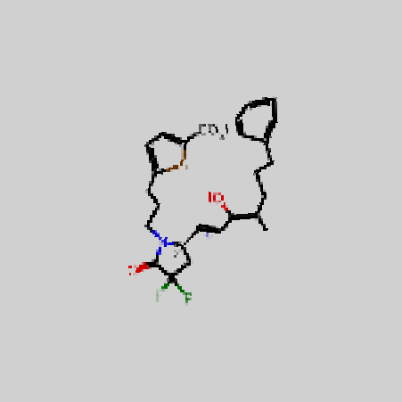 CC(CCCc1ccccc1)C(O)/C=C/[C@H]1CC(F)(F)C(=O)N1CCCc1ccc(C(=O)O)s1